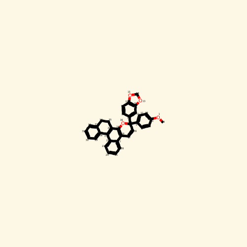 COc1ccc(C2(c3ccc4c(c3)OCO4)C=Cc3c(c4c(c5ccccc35)-c3ccccc3CC4)O2)cc1